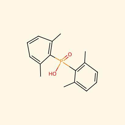 Cc1cccc(C)c1P(=O)(O)c1c(C)cccc1C